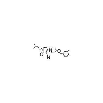 Cc1cccc(COC2CCN(c3ccn(CCC(C)C)c(=O)c3C#N)CC2)c1